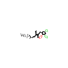 CC(C=CC=C(C)C1=Cc2cc(Cl)cc(Cl)c2OC1)=CC(=O)O